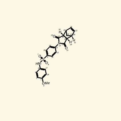 COc1ccc(NS(=O)(=O)c2ccc(N3C(=O)[C@@H]4[C@H](C3=O)C3C=C[C@H]4C3)cc2)cc1